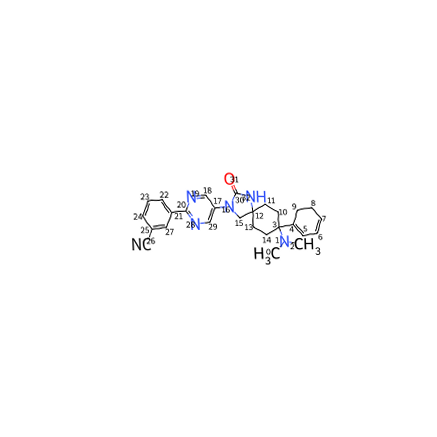 CN(C)C1(C2=CC=CCC2)CCC2(CC1)CN(c1cnc(-c3cccc(C#N)c3)nc1)C(=O)N2